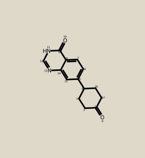 O=C1CCC(c2ccc3c(=O)[nH]cnc3c2)CC1